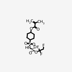 C=C(C)C(=O)OC1CCC(S(=O)(=O)NS(=O)(=O)OC(F)(F)CF)CC1